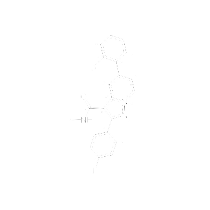 CNC(=O)c1c(-c2ccc(F)cc2)nn2ccc(-c3ccccc3C)cc12